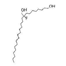 CCCCCCCCCCCCCCCCC(F)(CO)CCCCCCCCO